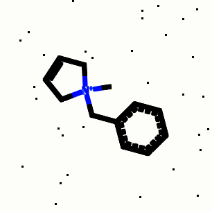 C[N+]1(Cc2ccccc2)CC=CC1